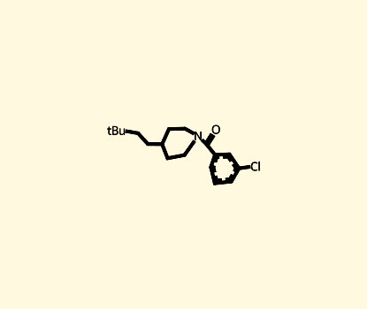 CC(C)(C)CCC1CCN(C(=O)c2cccc(Cl)c2)CC1